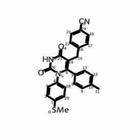 CSc1ccc(-n2c(-c3ccc(C)cc3)c(Cc3ccc(C#N)cc3)c(=O)[nH]c2=O)cc1